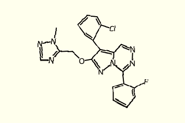 Cn1ncnc1COc1nn2c(-c3ccccc3F)nncc2c1-c1ccccc1Cl